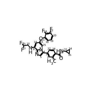 Cc1cc(-c2cnc3c(NCC(F)F)cc(Oc4cccc(F)c4F)cn23)ccc1C(=O)NC1CC1